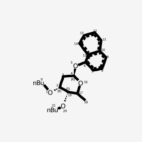 CCCCO[C@@H]1C[C@@H](Oc2cccc3ccccc23)OC(C)[C@@H]1OCCCC